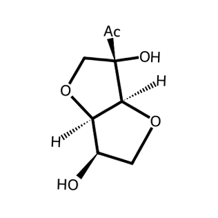 CC(=O)[C@]1(O)CO[C@@H]2[C@H](O)CO[C@@H]21